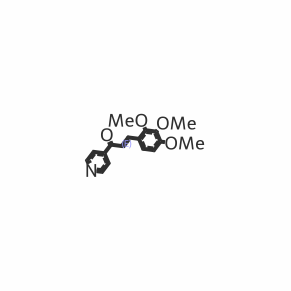 COc1ccc(/C=C/C(=O)c2ccncc2)c(OC)c1OC